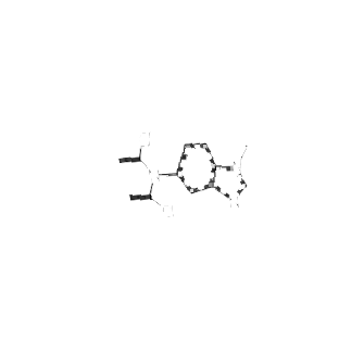 C=C(Cl)N(C(=C)Cl)c1ccc2c(c1)ncn2C